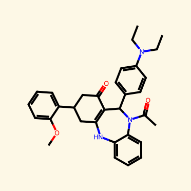 CCN(CC)c1ccc(C2C3=C(CC(c4ccccc4OC)CC3=O)Nc3ccccc3N2C(C)=O)cc1